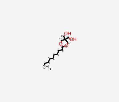 CCCCCCCCCC1OCC(CO)(CO)CO1